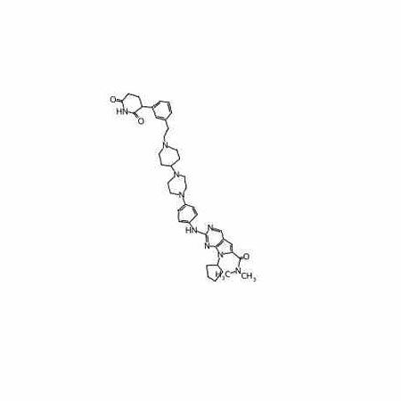 CN(C)C(=O)c1cc2cnc(Nc3ccc(N4CCN(C5CCN(CCc6cccc(C7CCC(=O)NC7=O)c6)CC5)CC4)cc3)nc2n1C1CCCC1